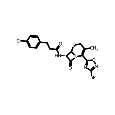 CCCc1noc(C2=C(C)CSC3[C@H](NC(=O)CCc4ccc(Cl)cc4)C(=O)N23)n1